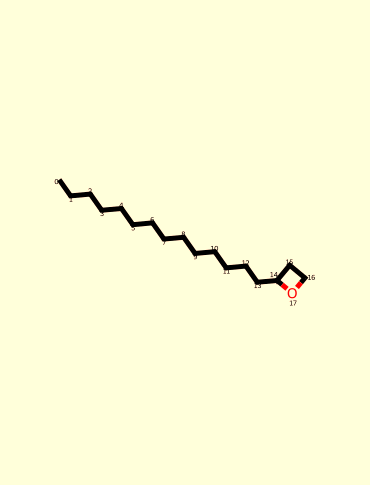 CCCCCCCCCCCCCC[C]1CCO1